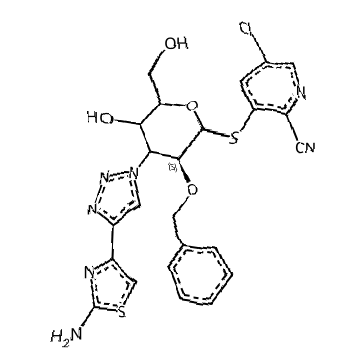 N#Cc1ncc(Cl)cc1SC1OC(CO)C(O)C(n2cc(-c3csc(N)n3)nn2)[C@@H]1OCc1ccccc1